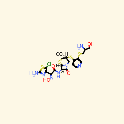 Nc1nc(C(=NO)C(=O)N[C@@H]2C(=O)N3CC(Sc4ccncc4SCC(N)CO)(C(=O)O)CS[C@H]23)c(Cl)s1